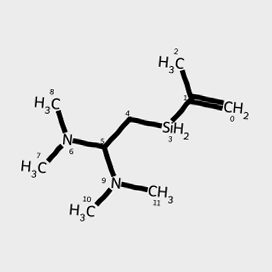 C=C(C)[SiH2]CC(N(C)C)N(C)C